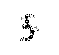 COC(=O)Nc1ccc(-c2nc(C(N)Cc3ccn(Cc4ccc(OC)cc4)n3)[nH]c2Cl)cc1